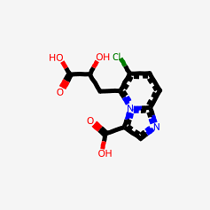 O=C(O)c1cnc2ccc(Cl)c(CC(O)C(=O)O)n12